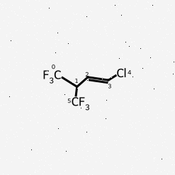 FC(F)(F)C(C=CCl)C(F)(F)F